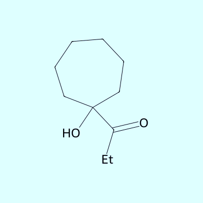 CCC(=O)C1(O)CCCCCC1